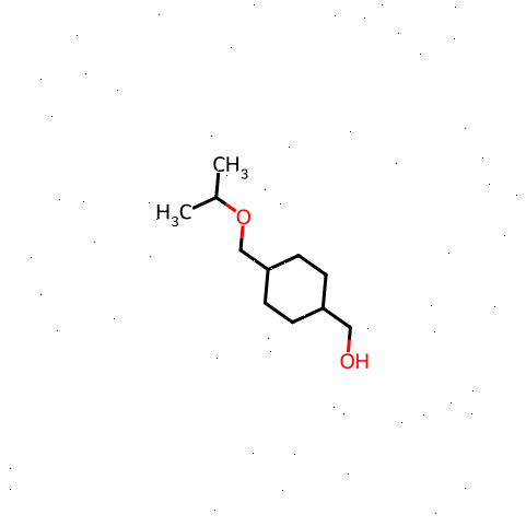 CC(C)OCC1CCC(CO)CC1